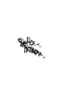 NC1CCC(Nc2nc(NC3CCN(S(=O)(=O)c4ccc(OC(F)(F)F)cc4)CC3)c3ncn(C4CCCC4)c3n2)CC1